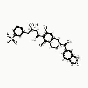 CS(=O)(=O)c1cccc(C[C@H](CC(=O)c2c(Cl)cc3c(c2Cl)CCN(C(=O)c2ccc4cn[nH]c4c2)C3)C(=O)O)c1